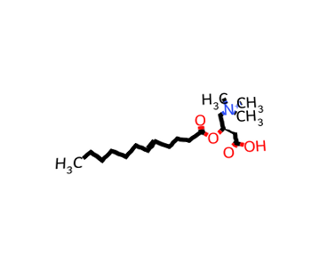 CCCCCCC=CCCCC(=O)O[C@H](CC(=O)O)C[N+](C)(C)C